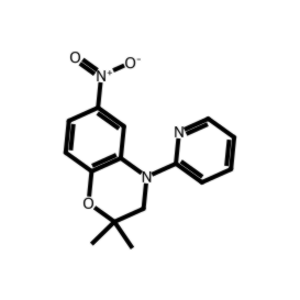 CC1(C)CN(c2ccccn2)c2cc([N+](=O)[O-])ccc2O1